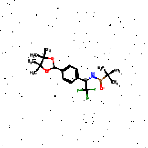 CC(C)(C)[S+]([O-])N[C@@H](c1ccc(B2OC(C)(C)C(C)(C)O2)cc1)C(F)(F)F